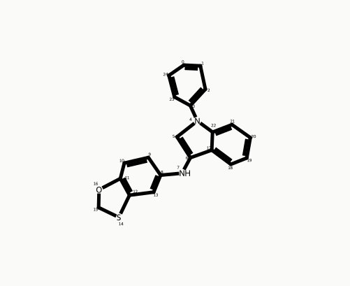 c1ccc(-n2cc(Nc3ccc4c(c3)SCO4)c3ccccc32)cc1